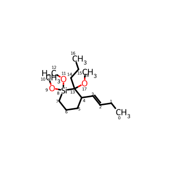 CCC=CC1CCC[Si](OC)(OC)C1(CCC)OC